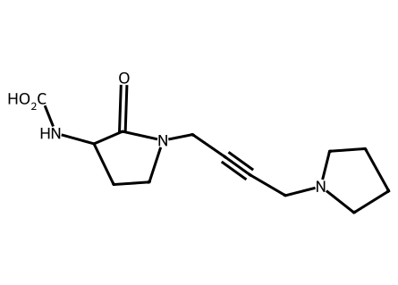 O=C(O)NC1CCN(CC#CCN2CCCC2)C1=O